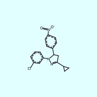 O=[N+]([O-])c1ccc(C2CC(C3CC3)=NN2c2cccc(Cl)c2)cc1